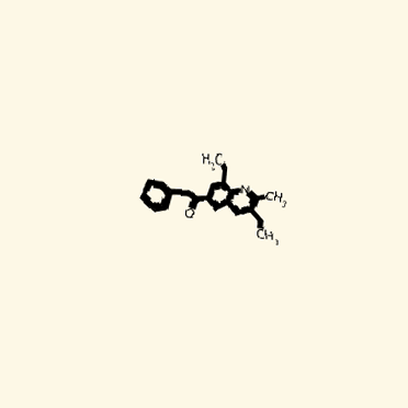 CCc1cc2cc(C(=O)Cc3ccccc3)cc(CC)c2nc1C